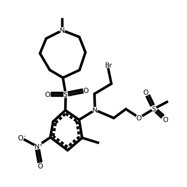 Cc1cc([N+](=O)[O-])cc(S(=O)(=O)C2CCCN(C)CCC2)c1N(CCBr)CCOS(C)(=O)=O